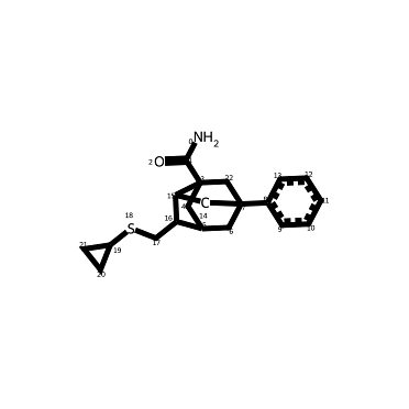 NC(=O)C12CC3CC(c4ccccc4)(CC1C3CSC1CC1)C2